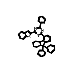 c1ccc(-c2nc(-c3cc4ccccc4s3)nc(-c3cccc4c3C3CCCCC3C4(c3ccccc3)c3ccccc3)n2)cc1